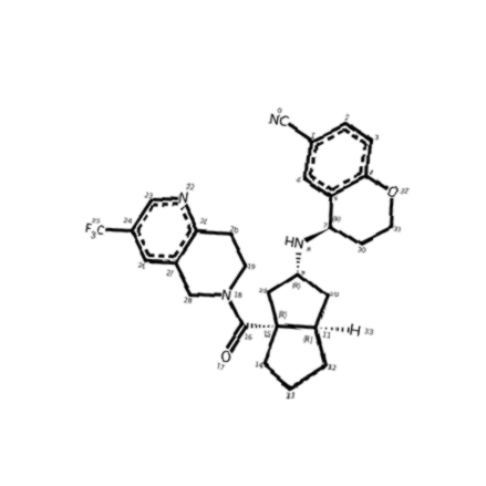 N#Cc1ccc2c(c1)[C@H](N[C@@H]1C[C@H]3CCC[C@@]3(C(=O)N3CCc4ncc(C(F)(F)F)cc4C3)C1)CCO2